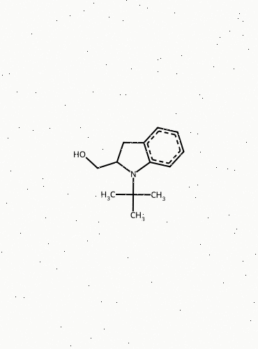 CC(C)(C)N1c2ccccc2CC1CO